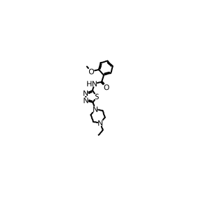 CCN1CCN(c2nnc(NC(=O)c3ccccc3OC)s2)CC1